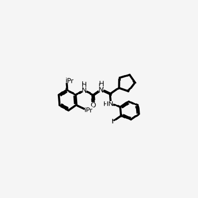 CC(C)c1cccc(C(C)C)c1NC(=O)NC(Nc1ccccc1I)C1CCCC1